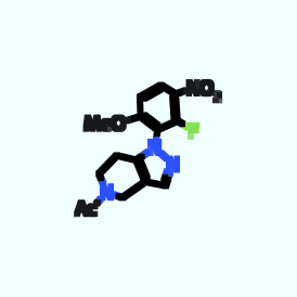 COc1ccc([N+](=O)[O-])c(F)c1-n1ncc2c1CCN(C(C)=O)C2